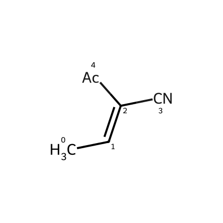 CC=C(C#N)C(C)=O